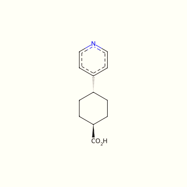 O=C(O)[C@H]1CC[C@H](c2ccncc2)CC1